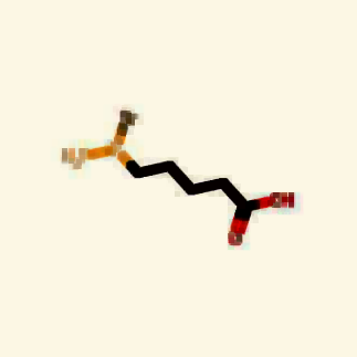 O=C(O)CCCCP(P)Br